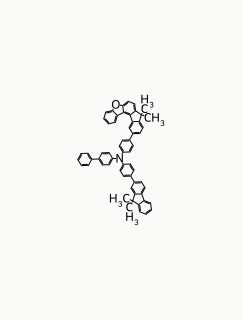 CC1(C)c2ccccc2-c2ccc(-c3ccc(N(c4ccc(-c5ccccc5)cc4)c4ccc(-c5ccc6c(c5)-c5c(ccc7oc8ccccc8c57)C6(C)C)cc4)cc3)cc21